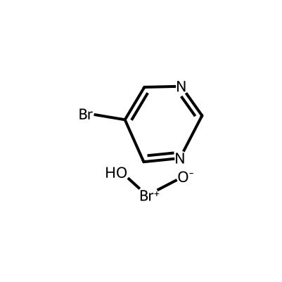 Brc1cncnc1.[O-][Br+]O